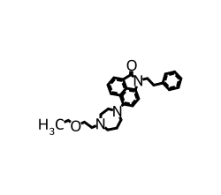 CCOCCN1CCCN(c2ccc3c4c(cccc24)C(=O)N3CCc2ccccc2)CC1